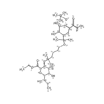 CCOC(=O)C1OC([C@@H](C)OC)C(O)C(O)[C@@H]1OC(C)(C)CCCCOC(C)(C)C1OC(C(=O)NC)[C@@H](OC(C)(C)C)C(O)C1O